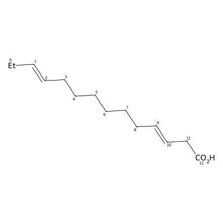 CCC=CCCCCCCC=CCC(=O)O